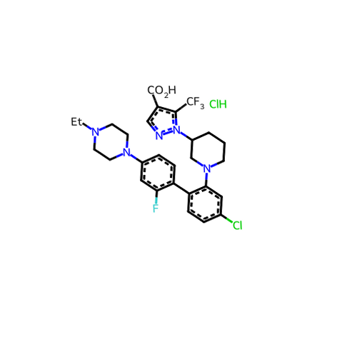 CCN1CCN(c2ccc(-c3ccc(Cl)cc3N3CCCC(n4ncc(C(=O)O)c4C(F)(F)F)C3)c(F)c2)CC1.Cl